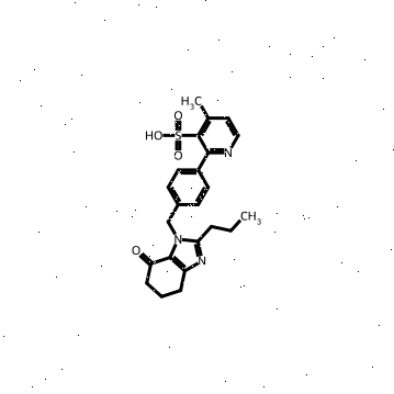 CCCc1nc2c(n1Cc1ccc(-c3nccc(C)c3S(=O)(=O)O)cc1)C(=O)CCC2